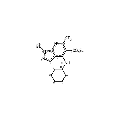 CCOC(=O)c1c(C(F)(F)F)nc2c(cnn2CC)c1NC1CCCCC1